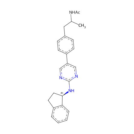 CC(=O)NC(C)Cc1ccc(-c2cnc(N[C@@H]3CCc4ccccc43)nc2)cc1